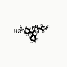 CB(O)N1CCC(=C(c2ccccc2)c2nnc(C3CN(C)C3)o2)CC1